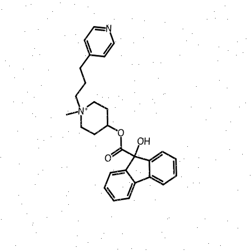 C[N+]1(CCCc2ccncc2)CCC(OC(=O)C2(O)c3ccccc3-c3ccccc32)CC1